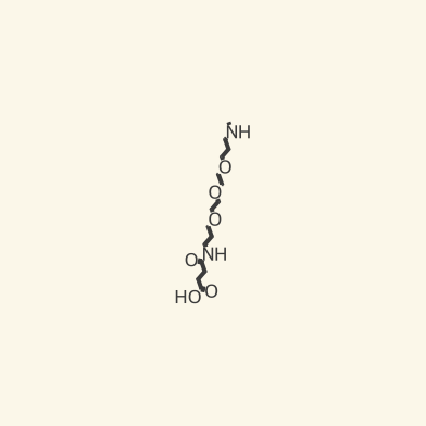 CNCCCOCCOCCOCCCNC(=O)CCC(=O)O